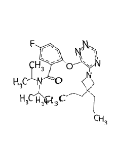 CCCC1(CCC)CN(c2ncnnc2Oc2ccc(F)cc2C(=O)N(C(C)C)C(C)C)C1